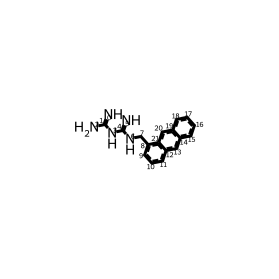 N=C(N)NC(=N)NCc1cccc2cc3ccccc3cc12